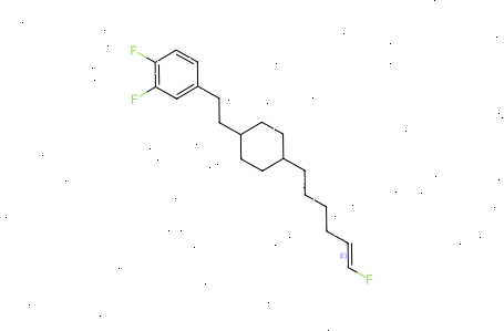 F/C=C/CCCCC1CCC(CCc2ccc(F)c(F)c2)CC1